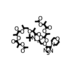 CC(=O)OC(C)C(=O)OC(C)C(=O)OC(C)COC(C)C(=O)N(C[C@@H](COc1nsnc1N1CCOCC1)OC(=O)C(C)OC(=O)C(C)OC(C)=O)C(C)(C)C